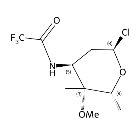 CO[C@]1(C)[C@@H](NC(=O)C(F)(F)F)C[C@@H](Cl)O[C@@H]1C